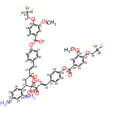 COc1cc(C(=O)Oc2ccc(C=CC(=O)CC(c3ccc(N)cc3N)C(O)(O)C(=O)C=Cc3ccc(OC(=O)c4ccc(OCC(F)(F)F)c(OC)c4)cc3)cc2)ccc1OCC(F)(F)F